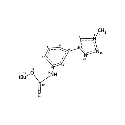 Cn1cc(-c2cccc(NC(=O)OC(C)(C)C)c2)nn1